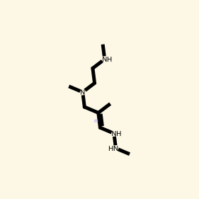 CNCCN(C)C/C(C)=C/NNC